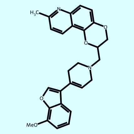 COc1cccc2c(C3=CCN(CC4COc5ccc6nc(C)ccc6c5O4)CC3)coc12